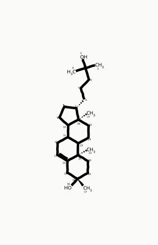 CC(C)(O)CCC[C@H]1CCC2C3CC=C4C[C@@](C)(O)CC[C@]4(C)C3CC[C@@]21C